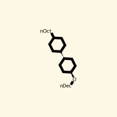 CCCCCCCCCCO[C@H]1CC[C@H](C2CCC(CCCCCCCC)CC2)CC1